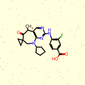 CC1C(=O)C2(CC2)CN(C2CCCC2)c2nc(Nc3ccc(C(=O)O)cc3F)ncc21